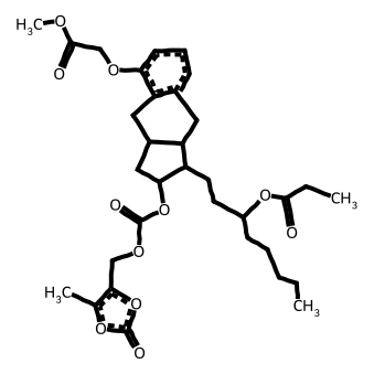 CCCCCC(CCC1C(OC(=O)OCc2oc(=O)oc2C)CC2Cc3c(cccc3OCC(=O)OC)CC21)OC(=O)CC